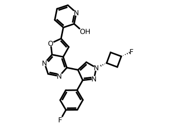 Oc1ncccc1-c1cc2c(-c3cn([C@H]4C[C@@H](F)C4)nc3-c3ccc(F)cc3)ncnc2o1